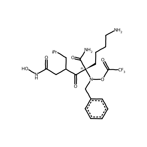 CC(C)CC(CC(=O)NO)C(=O)[C@](CCCCN)(C(N)=O)N(Cc1ccccc1)OC(=O)C(F)(F)F